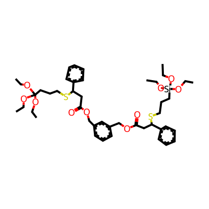 CCOC(CCCSC(CC(=O)OCc1cccc(COC(=O)CC(SCCC[Si](OCC)(OCC)OCC)c2ccccc2)c1)c1ccccc1)(OCC)OCC